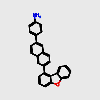 Nc1ccc(-c2ccc3cc(-c4cccc5oc6ccccc6c45)ccc3c2)cc1